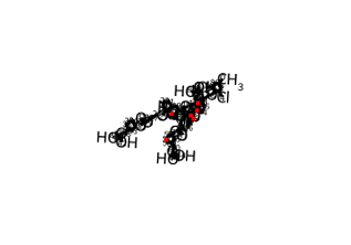 Cc1cc(Cl)c(OCCOc2ccc(C3=C(C(=O)N(Cc4ccnc(OCCCOC(=O)Oc5cccc(CON(O)O)c5)c4C)C4CC4)C4CN(C(=O)Oc5cccc(CON(O)O)c5)CC(C3)N4C(=O)Oc3cccc(CON(O)O)c3)cc2)c(Cl)c1